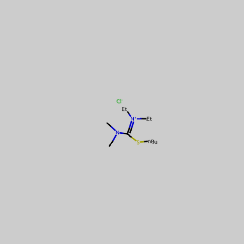 CCCCSC(N(C)C)=[N+](CC)CC.[Cl-]